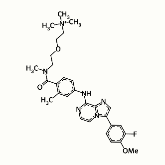 COc1ccc(-c2cnc3c(Nc4ccc(C(=O)N(C)CCOCC[N+](C)(C)C)c(C)c4)nccn23)cc1F